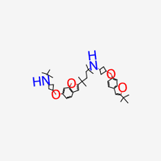 CC(C)(C)N[C@H]1C[C@@H](Oc2ccc3cc(C(C)(C)CCC(C)(C)N[C@H]4C[C@H](Oc5ccc6cc(C(C)(C)C)oc6c5)C4)oc3c2)C1